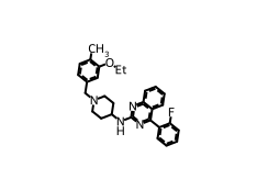 CCOc1cc(CN2CCC(Nc3nc(-c4ccccc4F)c4ccccc4n3)CC2)ccc1C